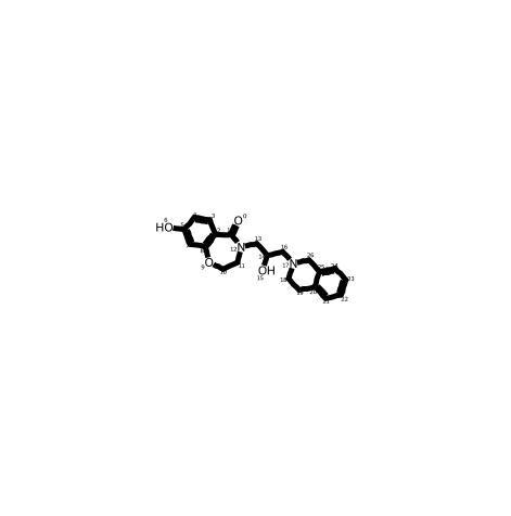 O=C1c2ccc(O)cc2OCCN1CC(O)CN1CCc2ccccc2C1